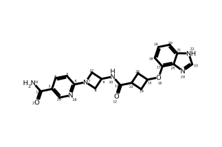 NC(=O)c1ccc(N2CC(NC(=O)C3CC(Oc4cccc5[nH]cnc45)C3)C2)nc1